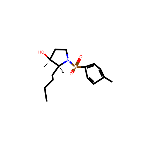 CCCC[C@]1(C)N(S(=O)(=O)c2ccc(C)cc2)CC[C@]1(C)O